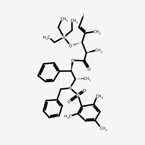 CC[Si](CC)(CC)O[C@H](/C(C)=C/I)[C@@H](C)C(=O)O[C@H](c1ccccc1)[C@H](C)N(Cc1ccccc1)S(=O)(=O)c1c(C)cc(C)cc1C